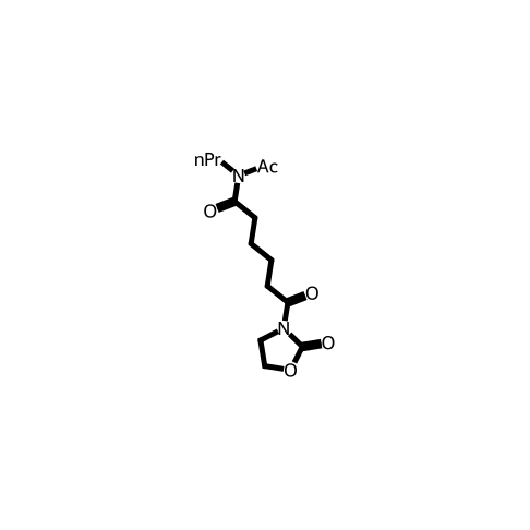 CCCN(C(C)=O)C(=O)CCCCC(=O)N1CCOC1=O